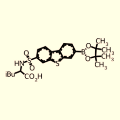 CCC(C)C(NS(=O)(=O)c1ccc2c(c1)sc1cc(B3OC(C)(C)C(C)(C)O3)ccc12)C(=O)O